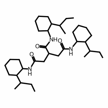 CCC(C)C1CCCCC1NC(=O)CC(CC(=O)NC1CCCCC1C(C)CC)C(=O)NC1CCCCC1C(C)CC